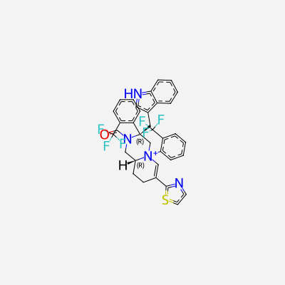 O=CN1C[C@H]2CCC(c3nccs3)=C[N+]2(c2ccccc2C(F)(F)F)C[C@@]1(Cc1c[nH]c2ccccc12)c1ccccc1C(F)(F)F